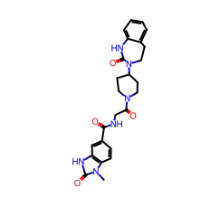 Cn1c(=O)[nH]c2cc(C(=O)NCC(=O)N3CCC(N4CCc5ccccc5NC4=O)CC3)ccc21